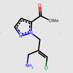 COC(=O)c1ccnn1CC(=CCl)CN